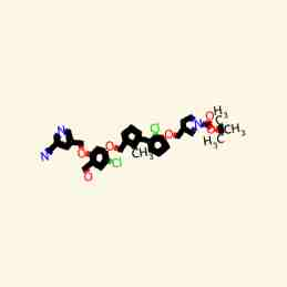 Cc1c(COc2cc(OCc3cncc(C#N)c3)c(C=O)cc2Cl)cccc1-c1cccc(OCC2CCN(C(=O)OC(C)(C)C)C2)c1Cl